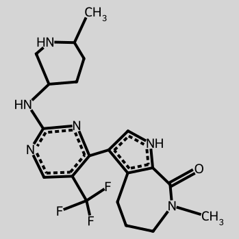 CC1CCC(Nc2ncc(C(F)(F)F)c(-c3c[nH]c4c3CCCN(C)C4=O)n2)CN1